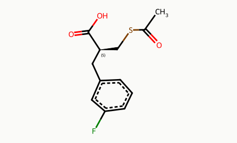 CC(=O)SC[C@@H](Cc1cccc(F)c1)C(=O)O